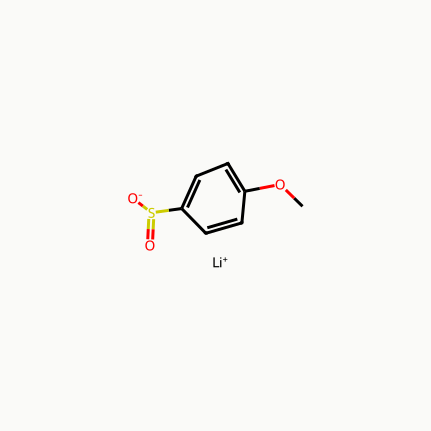 COc1ccc(S(=O)[O-])cc1.[Li+]